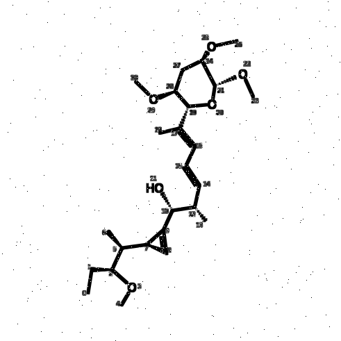 CC[C@H](OC)[C@@H](C)[C@@H]1C=C1[C@H](O)[C@@H](C)/C=C/C=C(\C)[C@H]1O[C@@H](OC)[C@H](OC)C[C@@H]1OC